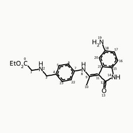 CCOC(=O)CNCc1ccc(NC(C)=C2C(=O)Nc3ccc(N)cc32)cc1